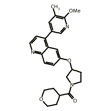 COc1ncc(-c2ccnc3ccc(OC4CCN(C(=O)C5CCOCC5)C4)cc23)cc1C